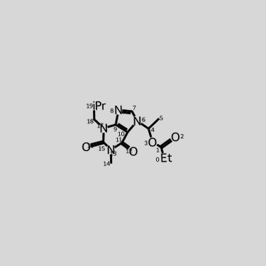 CCC(=O)OC(C)n1cnc2c1c(=O)n(C)c(=O)n2CC(C)C